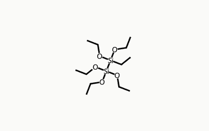 CCO[Si](CC)(OCC)[Si](OCC)(OCC)OCC